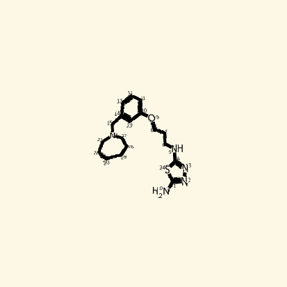 Nc1nnc(NCCCOc2cccc(CN3CCCCCC3)c2)s1